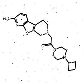 Cc1ccc2c3c(sc2n1)CN(CC(=O)N1CCN(C2CCC2)CC1)CC3